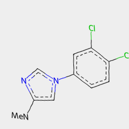 CNc1cn(-c2ccc(Cl)c(Cl)c2)cn1